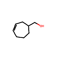 OCC1CC=CCCC1